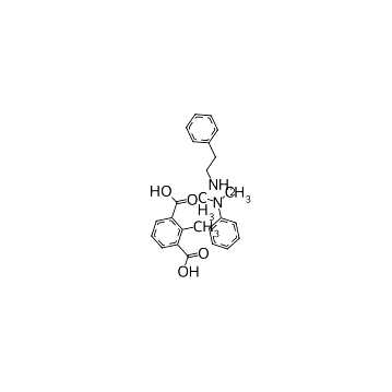 CN(C)c1ccccc1.Cc1c(C(=O)O)cccc1C(=O)O.NCCc1ccccc1